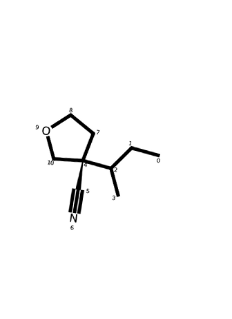 CCC(C)[C@@]1(C#N)CCOC1